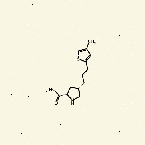 Cc1csc(CCC[C@@H]2CN[C@H](C(=O)O)C2)c1